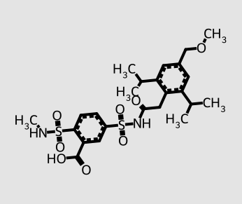 CNS(=O)(=O)c1ccc(S(=O)(=O)NC(=O)Cc2c(C(C)C)cc(COC)cc2C(C)C)cc1C(=O)O